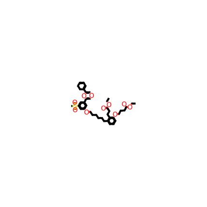 CCOC(=O)CCCOc1cccc(CCCCCCOc2cc(C3=COC=C(C4=CC=CCC4)O3)cc(S(C)(=O)=O)c2)c1CCC(=O)OCC